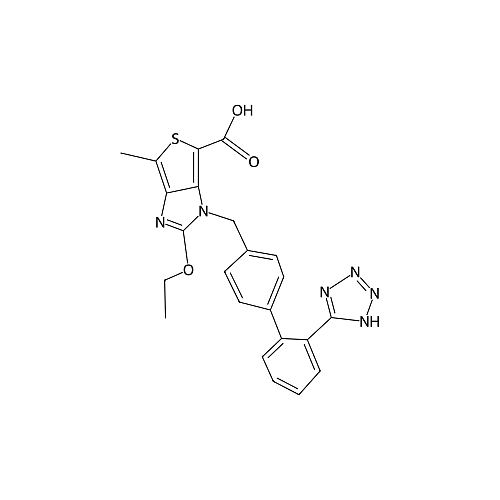 CCOc1nc2c(C)sc(C(=O)O)c2n1Cc1ccc(-c2ccccc2-c2nnn[nH]2)cc1